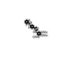 COc1cc(Nc2cncc(-c3ccc(NC(=O)c4c(F)cccc4F)cc3)n2)cc(OC)c1OC